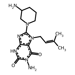 CC(C)=CCn1c(N2CCCC(N)C2)nc2[nH]c(=O)n(N)c(=O)c21